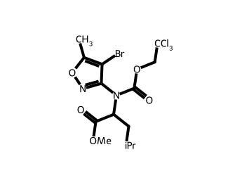 COC(=O)C(CC(C)C)N(C(=O)OCC(Cl)(Cl)Cl)c1noc(C)c1Br